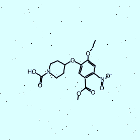 CCOc1cc([N+](=O)[O-])c(C(=O)OC)cc1OC1CCN(C(=O)O)CC1